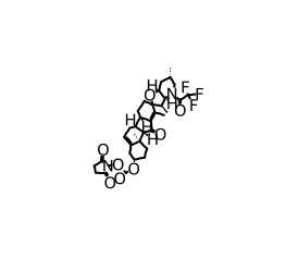 CC1=C2C(=O)[C@H]3[C@@H](CC=C4C[C@@H](OC(=O)ON5C(=O)CCC5=O)CC[C@@]43C)[C@@H]2CCC12O[C@@H]1C[C@H](C)CN(C(=O)C(F)(F)F)[C@H]1[C@H]2C